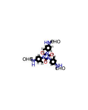 Cc1cc(NC=O)ccc1-n1c(=O)n(-c2ccc(NC=O)cc2C)c(=O)n(-c2ccc(NC=O)cc2C)c1=O